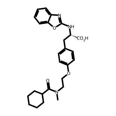 CN(CCOc1ccc(C[C@H](Nc2nc3ccccc3o2)C(=O)O)cc1)C(=O)C1CCCCC1